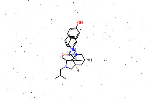 CC(C)CN1C[C@@H]2C[C@H]3CN[C@]2(C(=O)NCc2ccc(O)cc2)[C@@H]1[C@@H]3Cc1ccccc1